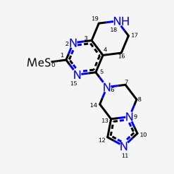 CSc1nc2c(c(N3CCn4cncc4C3)n1)CCNC2